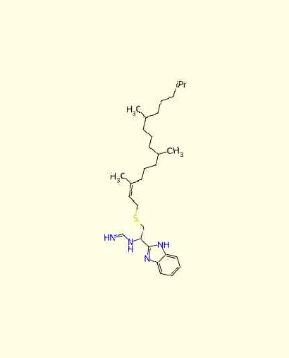 CC(=CCSCC(NC=N)c1nc2ccccc2[nH]1)CCCC(C)CCCC(C)CCCC(C)C